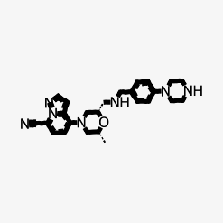 C[C@@H]1CN(c2ccc(C#N)n3nccc23)C[C@H](CNCc2ccc(N3CCNCC3)cc2)O1